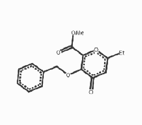 CCc1cc(=O)c(OCc2ccccc2)c(C(=O)OC)o1